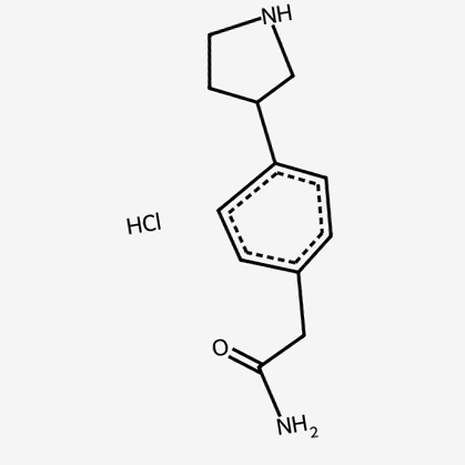 Cl.NC(=O)Cc1ccc(C2CCNC2)cc1